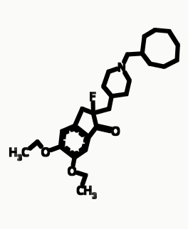 CCOc1cc2c(cc1OCC)C(=O)C(F)(CC1CCN(CC3CCCCCCC3)CC1)C2